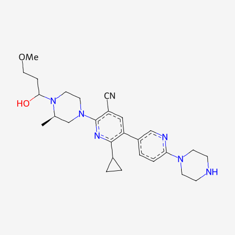 COCCC(O)N1CCN(c2nc(C3CC3)c(-c3ccc(N4CCNCC4)nc3)cc2C#N)C[C@H]1C